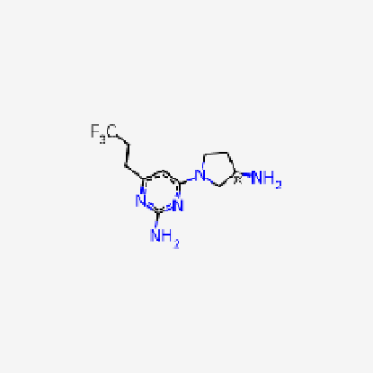 Nc1nc(CCC(F)(F)F)cc(N2CC[C@@H](N)C2)n1